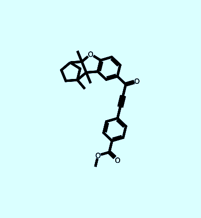 COC(=O)c1ccc(C#CC(=O)c2ccc3c(c2)C2(C)C4(C)CCC(C4)C2(C)O3)cc1